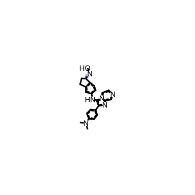 CN(C)c1ccc(-c2nc3cnccn3c2Nc2ccc3c(c2)CC/C3=N\O)cc1